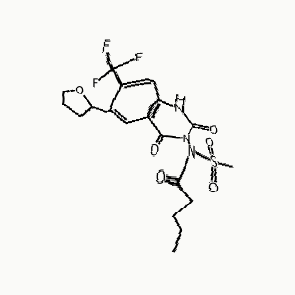 CCCCC(=O)N(n1c(=O)[nH]c2cc(C(F)(F)F)c(C3CCCO3)cc2c1=O)S(C)(=O)=O